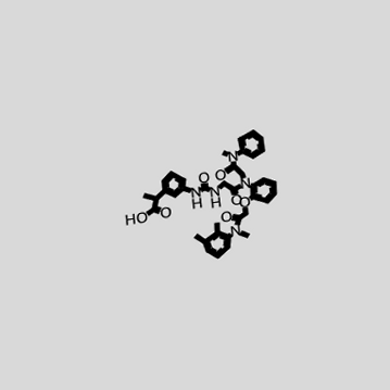 Cc1cccc(N(C)C(=O)COc2ccccc2N(CC(=O)N(C)c2ccccc2)C(=O)CNC(=O)Nc2cccc(C(C)C(=O)O)c2)c1C